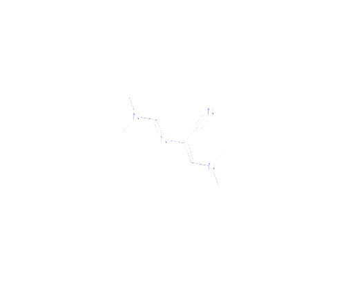 CN(C)C=NC(C#N)=CN(C)C